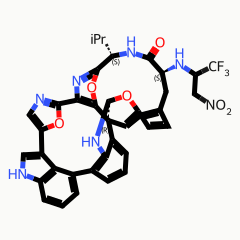 CC(C)[C@@H]1NC(=O)[C@@H](NC(C[N+](=O)[O-])C(F)(F)F)Cc2ccc3c(c2)[C@]24c5cccc(c5NC2O3)-c2cccc3[nH]cc(c23)-c2cnc(o2)-c2nc1oc24